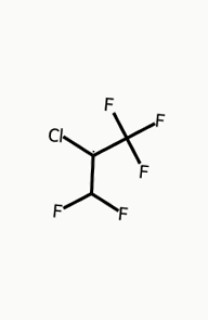 FC(F)[C](Cl)C(F)(F)F